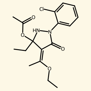 CCOC(C)=C1C(=O)N(c2ccccc2Cl)NC1(CC)OC(C)=O